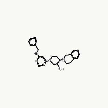 OC1CN(c2cc(NCc3ccccc3)ncn2)CCC1N1CCc2ccccc2C1